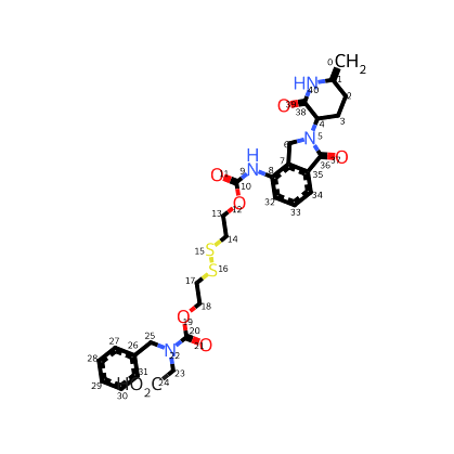 C=C1CCC(N2Cc3c(NC(=O)OCCSSCCOC(=O)N(CC(=O)O)Cc4ccccc4)cccc3C2=O)C(=O)N1